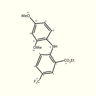 CCOC(=O)c1cc(C(F)(F)F)ccc1Nc1ccc(OC)cc1OC